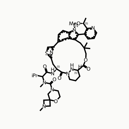 CCn1c(-c2cccnc2[C@H](C)OC)c2c3cc(ccc31)-c1csc(n1)C[C@H](NC(=O)C(C(C)C)N(C)C(=O)N1CCOC3(CN(C)C3)C1)C(=O)N1CCC[C@H](N1)C(=O)OCC(C)(C)C2